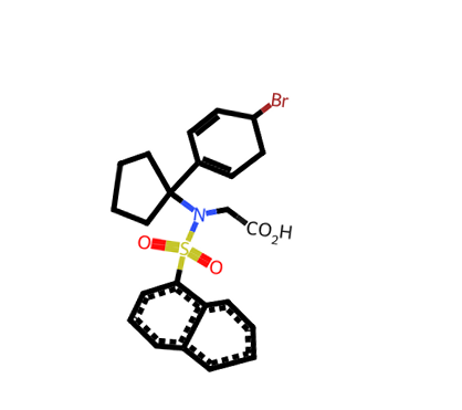 O=C(O)CN(C1(C2=CCC(Br)C=C2)CCCC1)S(=O)(=O)c1cccc2ccccc12